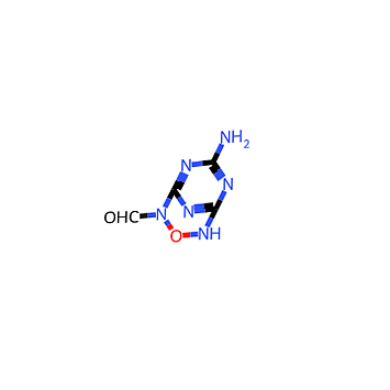 Nc1nc2nc(n1)N(C=O)ON2